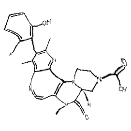 Cc1nc2c3c(cnc2c(C)c1-c1c(O)cccc1F)N(C)C(=O)[C@H]1CN(C(=O)O)CCN31